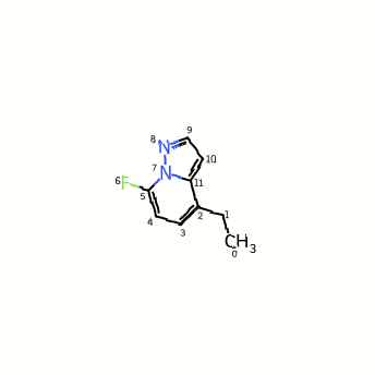 CCc1ccc(F)n2nccc12